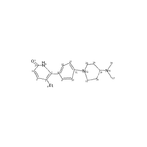 CCc1ccc(=O)[nH]c1-c1ccc(N2CCC(N(C)C)CC2)cc1